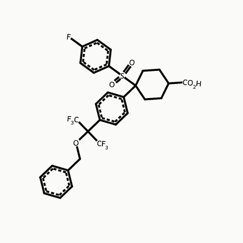 O=C(O)C1CCC(c2ccc(C(OCc3ccccc3)(C(F)(F)F)C(F)(F)F)cc2)(S(=O)(=O)c2ccc(F)cc2)CC1